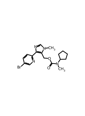 CN(C(=O)OCc1c(-c2ccc(Br)cn2)ncn1C)C1CCCC1